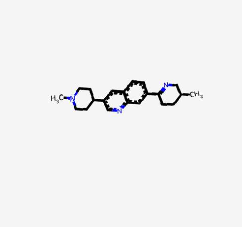 CC1CCC(c2ccc3cc(C4CCN(C)CC4)cnc3c2)=NC1